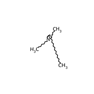 CCCCCCCCCCCCCCc1n(CCCC)cc[n+]1CCCCCCC